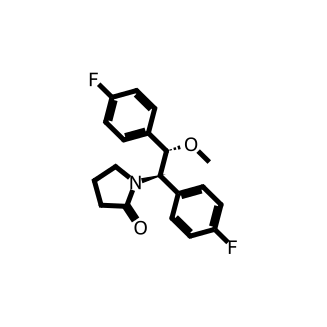 CO[C@@H](c1ccc(F)cc1)[C@@H](c1ccc(F)cc1)N1CCCC1=O